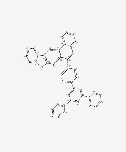 c1ccc(-c2cc(-c3ccc(-c4nc5ccccc5c5cc6c(cc45)oc4ccccc46)cc3)nc(-c3ccccc3)n2)cc1